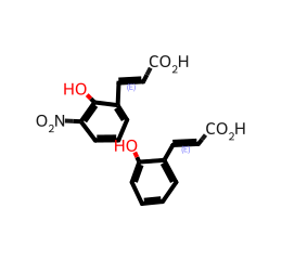 O=C(O)/C=C/c1cccc([N+](=O)[O-])c1O.O=C(O)/C=C/c1ccccc1O